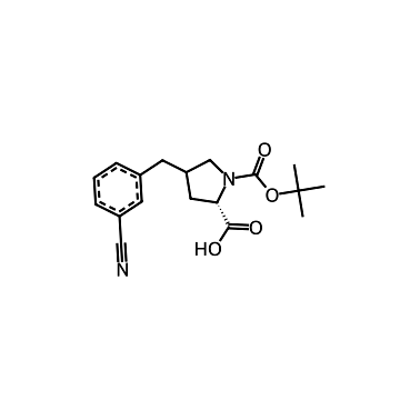 CC(C)(C)OC(=O)N1CC(Cc2cccc(C#N)c2)C[C@H]1C(=O)O